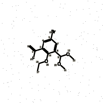 C=C(F)c1cc(Br)cc(C(OC)OC)c1OCC